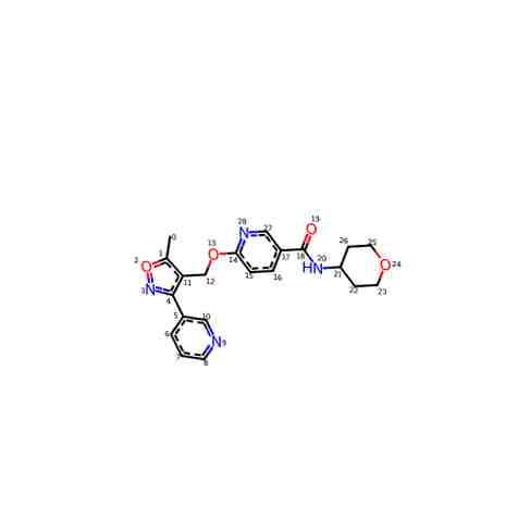 Cc1onc(-c2cccnc2)c1COc1ccc(C(=O)NC2CCOCC2)cn1